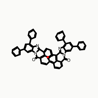 C=c1cccc2c1c(/C=C\c1ccc3c4c1cccc4c(=O)n1c4cc(-c5ccccc5)cc(-c5ccccc5)c4nc31)c(=O)n1c3cc(-c4ccccc4)cc(-c4ccccc4)c3nc21